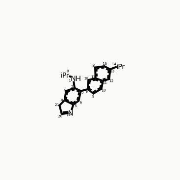 CC(C)Nc1cc2c(cc1-c1ccc3cc(C(C)C)ccc3c1)N=CC2